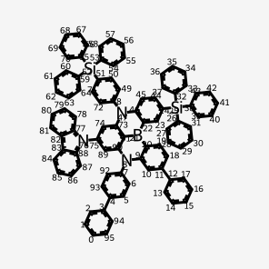 c1ccc(-c2ccc(N3c4cc(-c5ccccc5)ccc4B4c5cc([Si](c6ccccc6)(c6ccccc6)c6ccccc6)ccc5N(c5ccc([Si](c6ccccc6)(c6ccccc6)c6ccccc6)cc5)c5cc(-n6c7ccccc7c7ccccc76)cc3c54)cc2)cc1